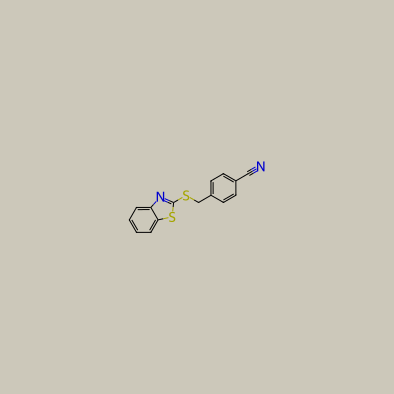 N#Cc1ccc(CSc2nc3ccccc3s2)cc1